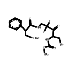 CC(=O)NC[C@H](C(=O)NCC(F)(F)C(=O)C(CC(C)C)NC(=O)OC(C)(C)C)c1ccccc1